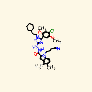 COc1cc(-c2nc(NNC(=O)c3cc4c(C)c(C)ccc4n3CCCC#N)nn2CCC2CCCCC2)c(OC)cc1Cl